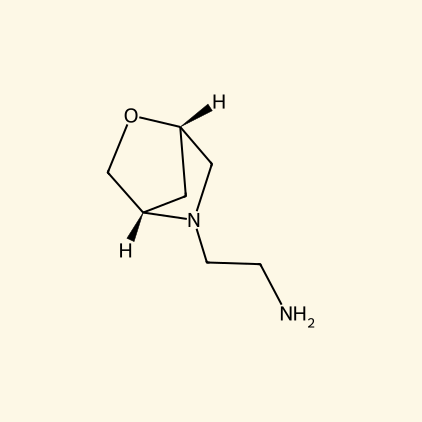 NCCN1C[C@@H]2C[C@H]1CO2